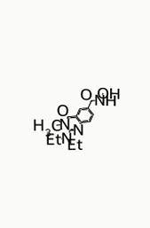 CCN(CC)c1nc2ccc(C(=O)NO)cc2c(=O)n1C